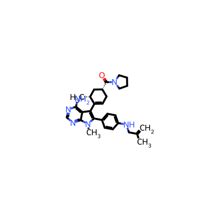 C=C(C)CNc1ccc(-c2c(C3=CC[C@@H](C(=O)N4CCCC4)C[C@H]3C)c3c(N)ncnc3n2C)cc1